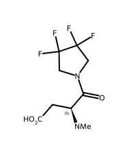 CN[C@@H](CC(=O)O)C(=O)N1CC(F)(F)C(F)(F)C1